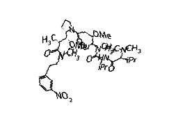 CC[C@H](C)[C@@H]([C@@H](CC(=O)N1CCC[C@H]1[C@H](OC)[C@@H](C)C(=O)N(C)CCc1cccc([N+](=O)[O-])c1)OC)N(C)C(=O)[C@@H](NC(=O)[C@H](C(C)C)N(C)C)C(C)C